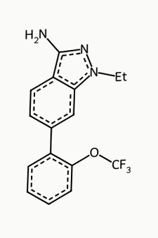 CCn1nc(N)c2ccc(-c3ccccc3OC(F)(F)F)cc21